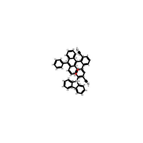 N#Cc1cc(-c2cccc(C#N)c2-c2c3ccccc3c(-c3ccccc3)c3ccccc23)ccc1-n1c2ccccc2c2ccccc21